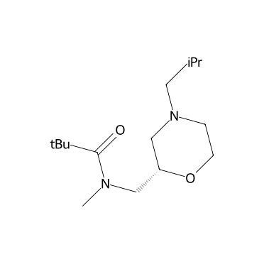 CC(C)CN1CCO[C@H](CN(C)C(=O)C(C)(C)C)C1